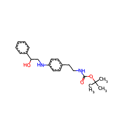 CC(C)(C)OC(=O)NCCc1ccc(NCC(O)c2ccccc2)cc1